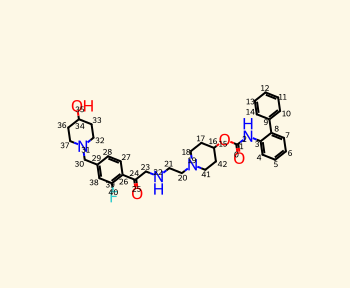 O=C(Nc1ccccc1-c1ccccc1)OC1CCN(CCNCC(=O)c2ccc(CN3CCC(O)CC3)cc2F)CC1